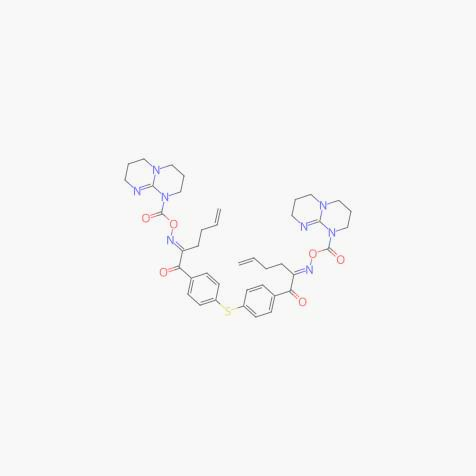 C=CCC/C(=N\OC(=O)N1CCCN2CCCN=C21)C(=O)c1ccc(Sc2ccc(C(=O)/C(CCC=C)=N/OC(=O)N3CCCN4CCCN=C43)cc2)cc1